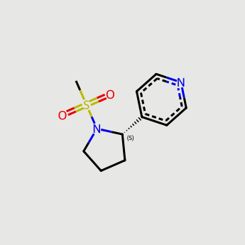 CS(=O)(=O)N1CCC[C@H]1c1ccncc1